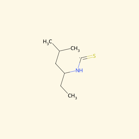 CCC(CC(C)C)N[C]=S